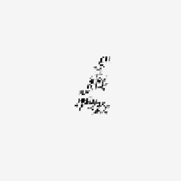 CCOC(=O)CCc1c(F)cc(F)cc1[C@@H](C)OC[C@H](O)CNC(C)(C)CC1Cc2ccccc2C1